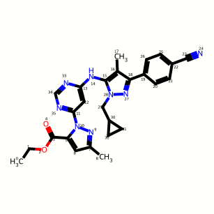 CCOC(=O)c1cc(C)nn1-c1cc(Nc2c(C)c(-c3ccc(C#N)cc3)nn2CC2CC2)ncn1